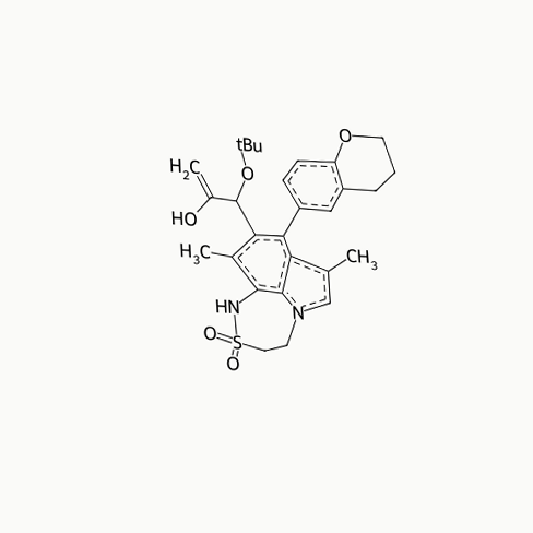 C=C(O)C(OC(C)(C)C)c1c(C)c2c3c(c(C)cn3CCS(=O)(=O)N2)c1-c1ccc2c(c1)CCCO2